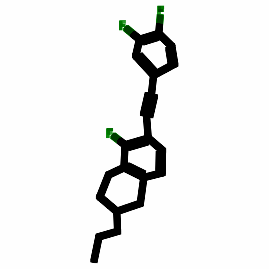 CCCC1CCc2c(ccc(C#Cc3ccc(F)c(F)c3)c2F)C1